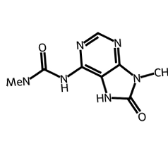 CNC(=O)Nc1ncnc2c1[nH]c(=O)n2C